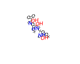 CC(C)(C)c1ccc2c(c1)C([C@@H](O)[C@@H]1CCC(CC(C)(C)c3ccc4c(c3)C([C@H](O)[C@H]3CCCN3)c3cc(C(C)(C)C)ccc3-4)N1)c1ccc(N3CCC[C@H]3[C@H](O)C3c4ccccc4-c4ccccc43)cc1-2